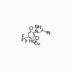 Cl.N#CCCN(N)c1c(Cl)cc(C(F)(F)F)cc1Cl.[Cu]